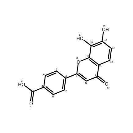 O=C(O)c1ccc(-c2cc(=O)c3ccc(O)c(O)c3o2)cc1